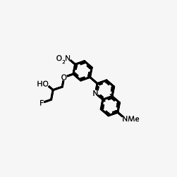 CNc1ccc2nc(-c3ccc([N+](=O)[O-])c(OCC(O)CF)c3)ccc2c1